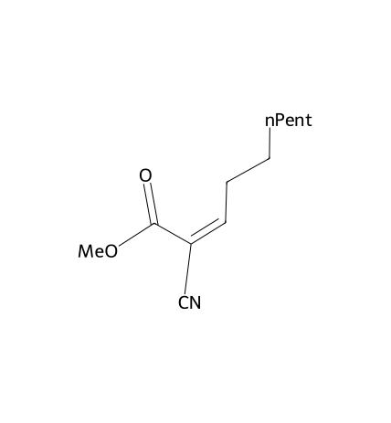 CCCCCCCC=C(C#N)C(=O)OC